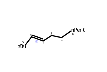 C[CH]CCCCC/C=C/CCCC